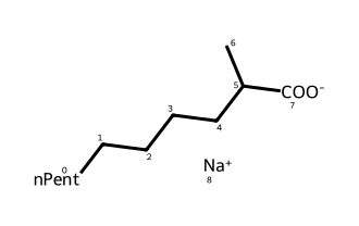 CCCCCCCCCC(C)C(=O)[O-].[Na+]